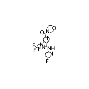 O=C(c1cc2c(cn1)c(Nc1ccc(F)cn1)nn2CC(F)(F)F)N1CCCOCC1